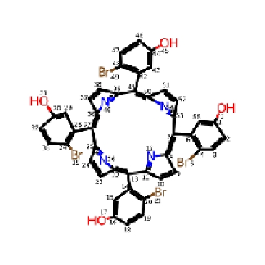 Oc1ccc(Br)c(C2=C3C=CC(=N3)C(c3cc(O)ccc3Br)=C3C=CC(=N3)C(c3cc(O)ccc3Br)=C3C=CC(=N3)C(c3cc(O)ccc3Br)=C3C=CC2=N3)c1